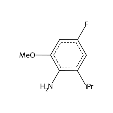 COc1cc(F)cc(C(C)C)c1N